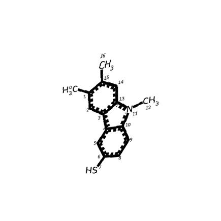 Cc1cc2c3cc(S)ccc3n(C)c2cc1C